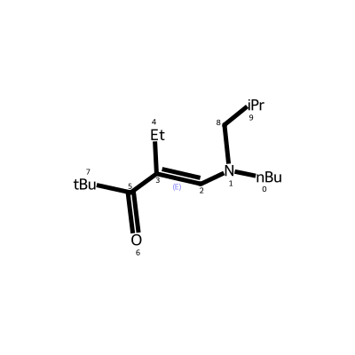 CCCCN(/C=C(\CC)C(=O)C(C)(C)C)CC(C)C